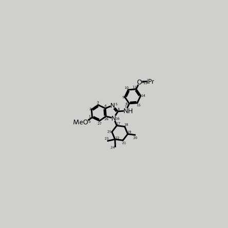 COc1ccc2nc(Nc3ccc(OC(C)C)cc3)n(C3CC(C)CC(C)(C)C3)c2c1